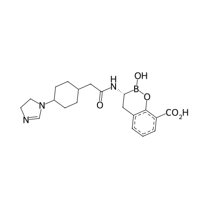 O=C(CC1CCC(N2C=NCC2)CC1)N[C@H]1Cc2cccc(C(=O)O)c2OB1O